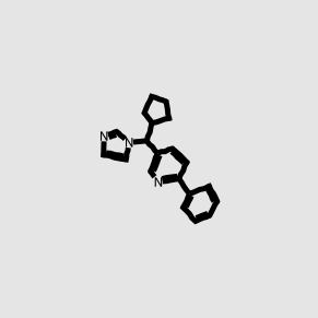 c1ccc(-c2ccc(C(C3CCCC3)n3ccnc3)cn2)cc1